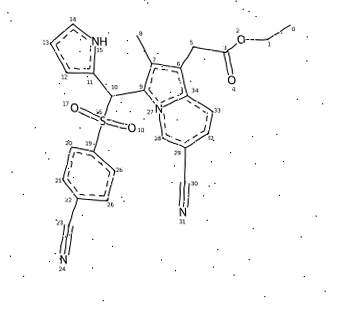 CCOC(=O)Cc1c(C)c(C(c2ccc[nH]2)S(=O)(=O)c2ccc(C#N)cc2)n2cc(C#N)ccc12